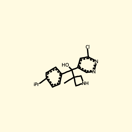 CC(C)c1ccc(C(O)(c2cnnc(Cl)c2)C2(C)CNC2)cc1